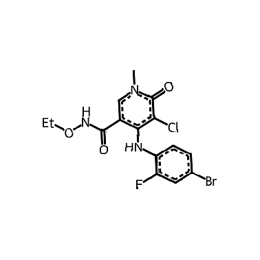 CCONC(=O)c1cn(C)c(=O)c(Cl)c1Nc1ccc(Br)cc1F